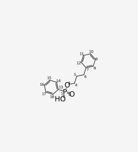 O=P(O)(OCCCc1ccccc1)c1ccccc1